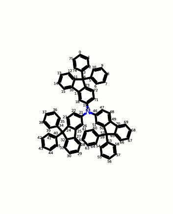 c1ccc(C2(c3ccccc3)c3ccccc3-c3cc(N(c4ccc5c(c4)-c4ccccc4C5(c4ccccc4)c4ccccc4)c4ccc5c(c4)C(c4ccccc4)(c4ccccc4)c4ccccc4-5)ccc32)cc1